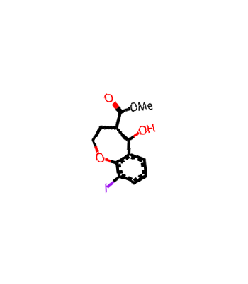 COC(=O)C1CCOc2c(I)cccc2C1O